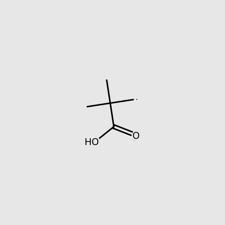 [CH2]C(C)(C)C(=O)O